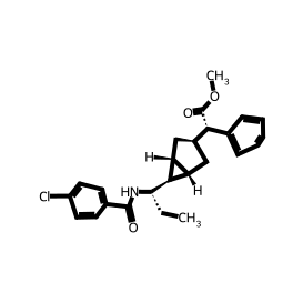 CC[C@H](NC(=O)c1ccc(Cl)cc1)[C@H]1[C@@H]2C[C@@H]([C@H](C(=O)OC)c3ccccc3)C[C@@H]21